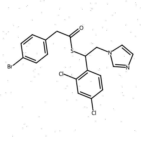 O=C(Cc1ccc(Br)cc1)SC(Cn1ccnc1)c1ccc(Cl)cc1Cl